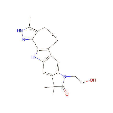 Cc1[nH]nc2c1CCCc1c-2[nH]c2cc3c(cc12)N(CCO)C(=O)C3(C)C